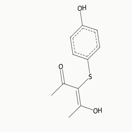 CC(=O)C(Sc1ccc(O)cc1)=C(C)O